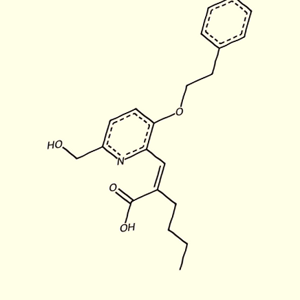 CCCCC(=Cc1nc(CO)ccc1OCCc1ccccc1)C(=O)O